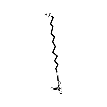 CCCCCCCCCCCCCCCO[SH](=O)=O